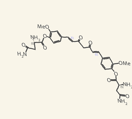 COc1cc(/C=C/C(=O)CC(=O)/C=C/c2ccc(OC(=O)[C@@H](N)CC(N)=O)c(OC)c2)ccc1OC(=O)[C@@H](N)CC(N)=O